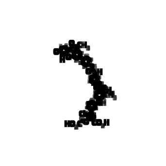 Cn1c(=O)n(C2CCC(=O)NC2=O)c2ccc(C3CCN(CC(=O)Nc4cccc(CS(=O)(=O)N5CC[C@H](Nc6cccc(-c7sc(C(=O)O)c(OCC(=O)O)c7Cl)c6)CC5(C)C)c4)CC3)cc21